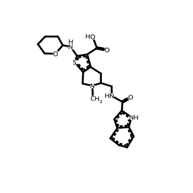 CN1Cc2sc(NC3CCCCO3)c(C(=O)O)c2CC1CNC(=O)c1cc2ccccc2[nH]1